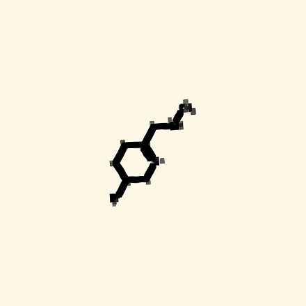 CNCC1=NCC(Br)CC1